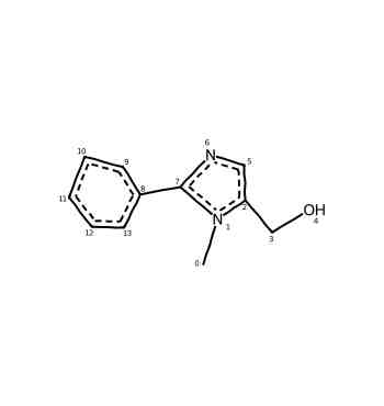 Cn1c(CO)cnc1-c1ccccc1